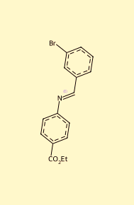 CCOC(=O)c1ccc(/N=C/c2cccc(Br)c2)cc1